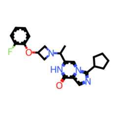 CC(c1cn2c(C3CCCC3)ncc2c(=O)[nH]1)N1CC(Oc2ccccc2F)C1